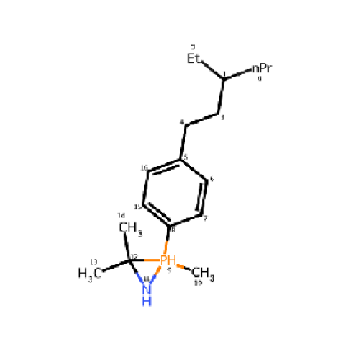 CCCC(CC)CCc1ccc([PH]2(C)NC2(C)C)cc1